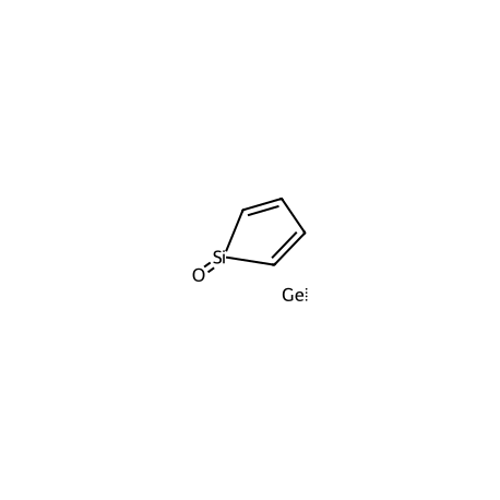 O=[Si]1C=CC=C1.[Ge]